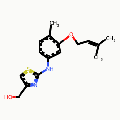 CC(C)=CCOc1cc(Nc2nc(CO)cs2)ccc1C